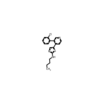 CCCCNc1ncc(-c2ccncc2-c2ccccc2Cl)s1